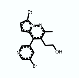 CCc1ccc2c(-c3cncc(Br)c3)c(CCO)c(C)nn12